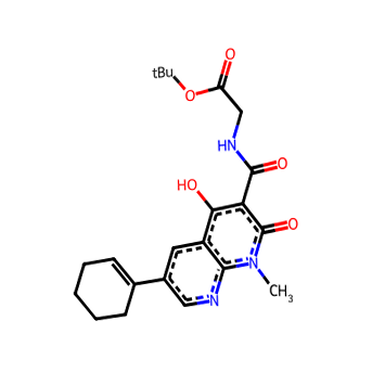 Cn1c(=O)c(C(=O)NCC(=O)OC(C)(C)C)c(O)c2cc(C3=CCCCC3)cnc21